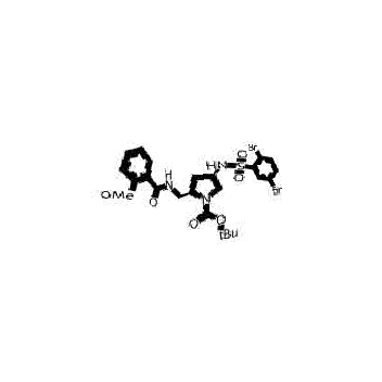 COc1ccccc1C(=O)NC[C@H]1C[C@@H](NS(=O)(=O)c2cc(Br)ccc2Br)CN1C(=O)OC(C)(C)C